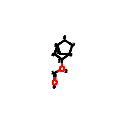 O=COC1CC2CCC1C2